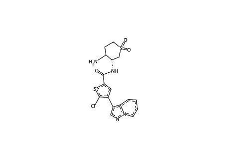 NC1CCS(=O)(=O)C[C@@H]1NC(=O)c1cc(-c2cnn3ccccc23)c(Cl)s1